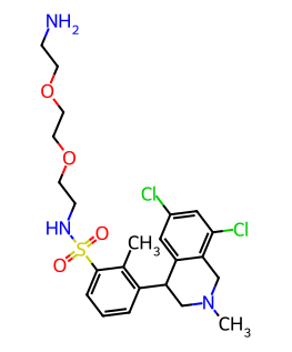 Cc1c(C2CN(C)Cc3c(Cl)cc(Cl)cc32)cccc1S(=O)(=O)NCCOCCOCCN